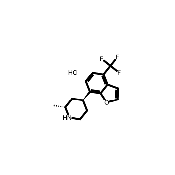 C[C@@H]1C[C@@H](c2ccc(C(F)(F)F)c3ccoc23)CCN1.Cl